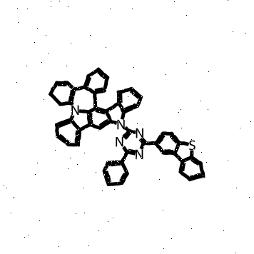 C1=CC2=C(CC1)n1c3ccccc3c3cc4c(c(c31)-c1ccccc12)c1ccccc1n4-c1nc(-c2ccccc2)nc(-c2ccc3sc4ccccc4c3c2)n1